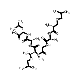 CC(C)COC[C@@H](N)C(=O)N[C@H](N)C(=O)NCC(=O)N(C)[C@H](C(=O)N[C@@H](N)C(=O)N[C@@H](CC(C)C)C(=O)O)C(C)OCC(C)C